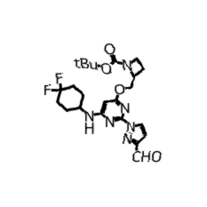 CC(C)(C)OC(=O)N1CCC1COc1cc(NC2CCC(F)(F)CC2)nc(-n2ccc(C=O)n2)n1